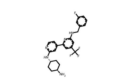 N[C@H]1CC[C@H](Nc2cc(-c3cc(C(F)(F)F)cc(NCc4cccc(F)c4)n3)ccn2)CC1